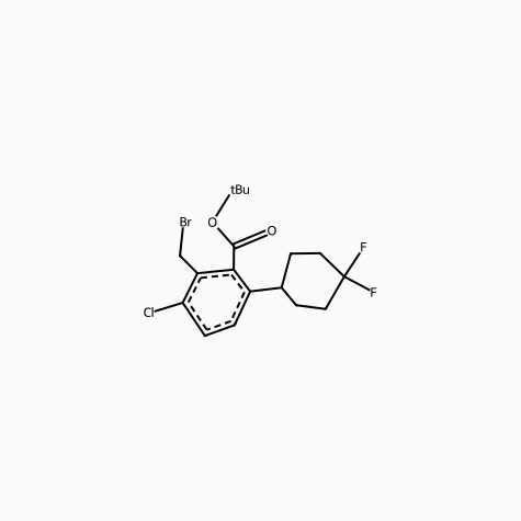 CC(C)(C)OC(=O)c1c(C2CCC(F)(F)CC2)ccc(Cl)c1CBr